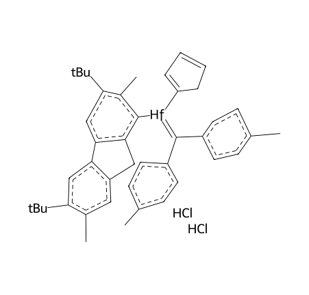 Cc1ccc([C](c2ccc(C)cc2)=[Hf]([C]2=CC=CC2)[c]2c(C)c(C(C)(C)C)cc3c2Cc2cc(C)c(C(C)(C)C)cc2-3)cc1.Cl.Cl